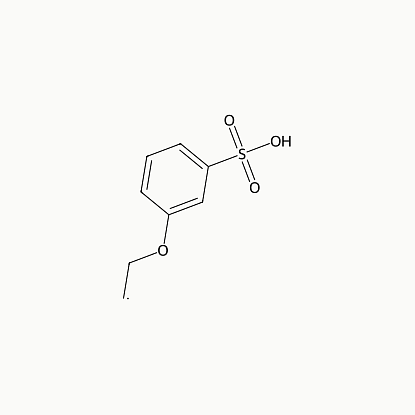 [CH2]COc1cccc(S(=O)(=O)O)c1